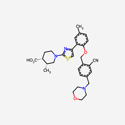 Cc1ccc(OCc2ccc(CN3CCOCC3)cc2C#N)c(-c2csc(N3CC[C@@H](C(=O)O)[C@@H](C)C3)n2)c1